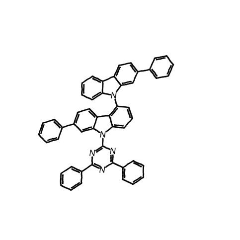 c1ccc(-c2ccc3c4ccccc4n(-c4cccc5c4c4ccc(-c6ccccc6)cc4n5-c4nc(-c5ccccc5)nc(-c5ccccc5)n4)c3c2)cc1